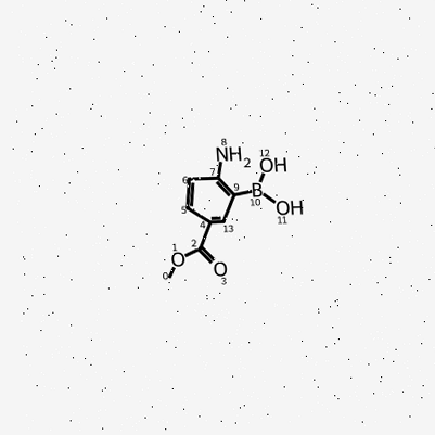 COC(=O)c1ccc(N)c(B(O)O)c1